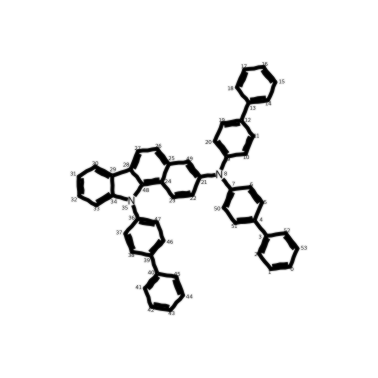 c1ccc(-c2ccc(N(c3ccc(-c4ccccc4)cc3)c3ccc4c(ccc5c6ccccc6n(-c6ccc(-c7ccccc7)cc6)c45)c3)cc2)cc1